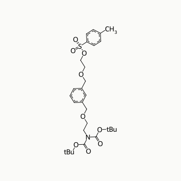 Cc1ccc(S(=O)(=O)OCCOCc2cccc(COCCN(C(=O)OC(C)(C)C)C(=O)OC(C)(C)C)c2)cc1